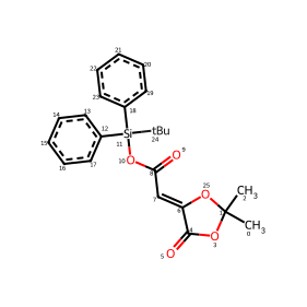 CC1(C)OC(=O)/C(=C/C(=O)O[Si](c2ccccc2)(c2ccccc2)C(C)(C)C)O1